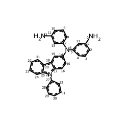 Nc1cccc(N(c2cccc(N)c2)c2ccc3c(c2)c2ccccc2n3-c2ccccc2)c1